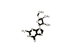 CC(=O)OC[C@H]1O[C@@H](n2cnc3c(=O)[nH]c(N)nc32)[C@H](O)[C@@H]1OC(C)=O